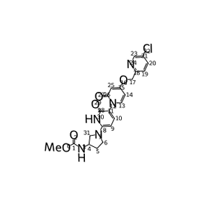 COC(=O)NC1CCN(c2ccc(-n3ccc(OCc4ccc(Cl)cn4)cc3=O)c(=O)[nH]2)C1